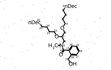 CCCCCCCCCCCCCCOCC(CN(C)C(=O)c1ccccc1CO)OCCCCCCCCCCCCCC